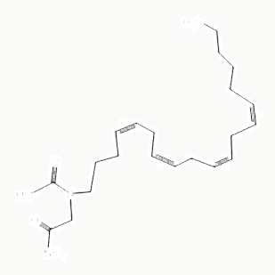 CCCCC/C=C\C/C=C\C/C=C\C/C=C\CCCN(CC(N)=O)C(=O)O